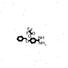 N=C(N)c1ccc(OCc2ccccc2)c(OC(=O)C(F)(F)F)c1